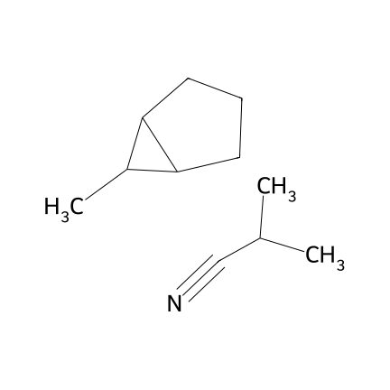 CC(C)C#N.CC1C2CCCC12